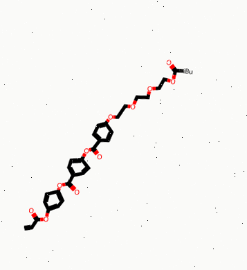 C=CC(=O)Oc1ccc(OC(=O)c2ccc(OC(=O)c3ccc(OCCOCCOCCOC(=O)C(C)CC)cc3)cc2)cc1